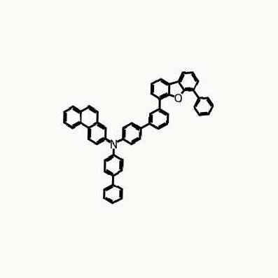 c1ccc(-c2ccc(N(c3ccc(-c4cccc(-c5cccc6c5oc5c(-c7ccccc7)cccc56)c4)cc3)c3ccc4c(ccc5ccccc54)c3)cc2)cc1